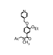 CCOc1cc(C(=O)N(C)CC(C)=O)ccc1OCc1ccncc1